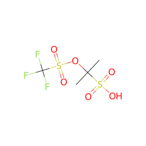 CC(C)(OS(=O)(=O)C(F)(F)F)S(=O)(=O)O